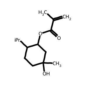 C=C(C)C(=O)OC1CC(C)(O)CCC1C(C)C